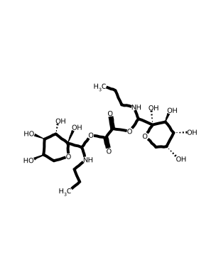 CCCNC(OC(=O)C(=O)OC(NCCC)[C@]1(O)OC[C@@H](O)[C@@H](O)[C@@H]1O)[C@]1(O)OC[C@@H](O)[C@@H](O)[C@@H]1O